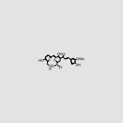 CCN(CC)C(=O)C/C(C(=O)/C=C/c1ccc(O)c(OC)c1)=C(O)\C=C\c1ccc(O)c(CO)c1